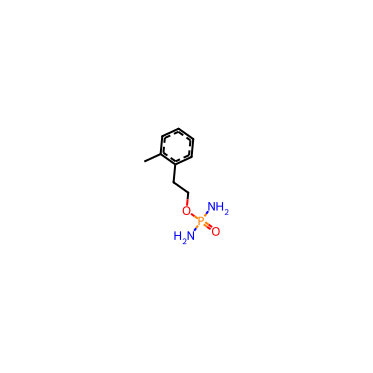 Cc1ccccc1CCOP(N)(N)=O